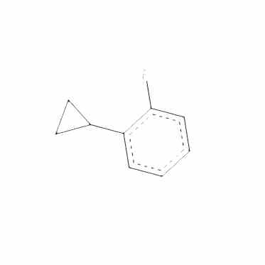 Fc1cc[c]cc1C1CC1